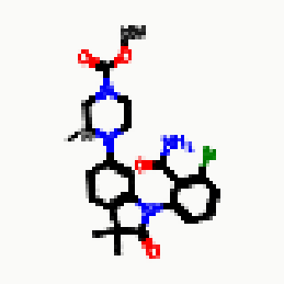 C[C@@H]1CN(C(=O)OC(C)(C)C)CCN1c1ccc2c(c1)N(c1cccc(Br)c1C(N)=O)C(=O)C2(C)C